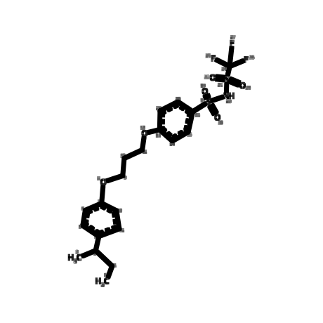 CCC(C)c1ccc(OCCCOc2ccc(S(=O)(=O)NS(=O)(=O)C(F)(F)F)cc2)cc1